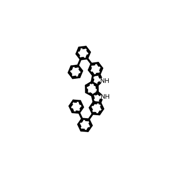 c1ccc(-c2ccccc2-c2ccc3[nH]c4c(ccc5c6cc(-c7ccccc7-c7ccccc7)ccc6[nH]c54)c3c2)cc1